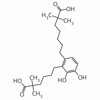 CC(C)(CCCCCc1ccc(O)c(O)c1CCCCC(C)(C)C(=O)O)C(=O)O